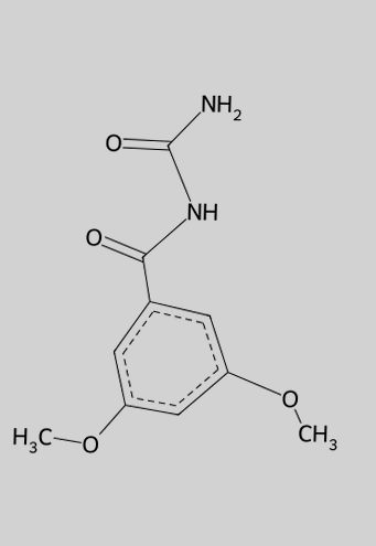 COc1cc(OC)cc(C(=O)NC(N)=O)c1